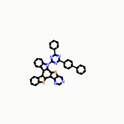 c1ccc(-c2ccc(-c3nc(-c4ccccc4)nc(-n4c5ccccc5c5c6c7ccccc7sc6c6c7ncncc7sc6c54)n3)cc2)cc1